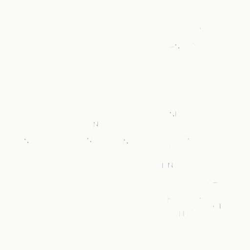 CC(C)(O)C(F)CNC(=O)c1cnc(-c2ccc3cc(C#N)cnn23)cc1Nc1ccc2c(c1)CC(=O)N2